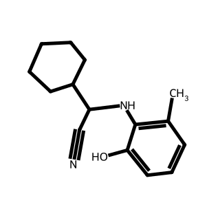 Cc1cccc(O)c1NC(C#N)C1CCCCC1